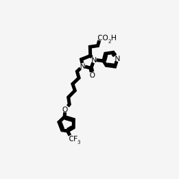 O=C(O)CCC1CN(CCCCCCOc2ccc(C(F)(F)F)cc2)C(=O)N1c1ccncc1